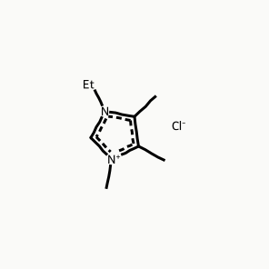 CCn1c[n+](C)c(C)c1C.[Cl-]